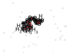 Cc1cc(F)c(Nc2nc(-c3ccc4c(c3)N(C3CC(N5CCCCC5)C3)C(=O)C43CCN(C(=O)c4ccc(C(=O)N5CCN(c6cccc7c6C(=O)N(C6CCC(=O)NC6=O)C7=O)CC5)cc4)CC3)cc3ncn(C(C)C)c23)cc1C(=O)NC(C)C